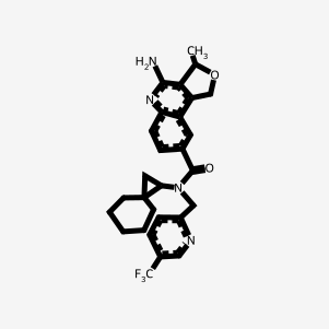 CC1OCc2c1c(N)nc1ccc(C(=O)N(Cc3ccc(C(F)(F)F)cn3)C3CC34CCCCC4)cc21